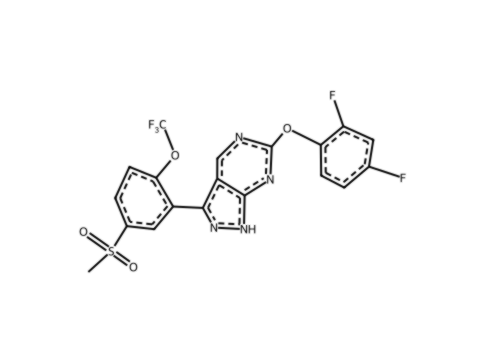 CS(=O)(=O)c1ccc(OC(F)(F)F)c(-c2n[nH]c3nc(Oc4ccc(F)cc4F)ncc23)c1